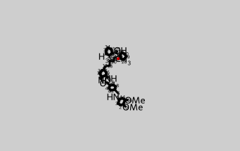 COc1ccc(NCc2ccc(C(=O)Nc3cc(CCCCC(C)(C)[Si](O)(c4ccccc4)c4ccccc4)ccc3[N+](=O)[O-])cc2)cc1OC